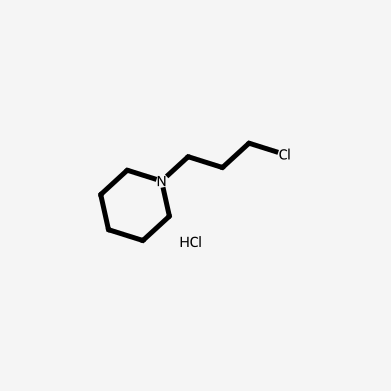 Cl.ClCCCN1CCCCC1